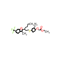 CCCCC(CCSc1ccc(OCC(=O)OCC)c(C)c1)c1oc2cc(C(F)(F)F)ccc2c1C